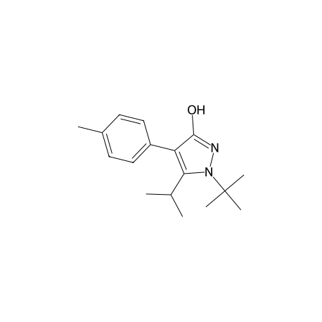 Cc1ccc(-c2c(O)nn(C(C)(C)C)c2C(C)C)cc1